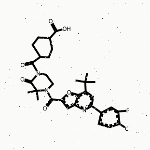 CC(C)(C)c1cc(-c2ccc(Cl)c(F)c2)nc2cc(C(=O)N3CCN(C(=O)C4CCC(C(=O)O)CC4)C(=O)C3(C)C)oc12